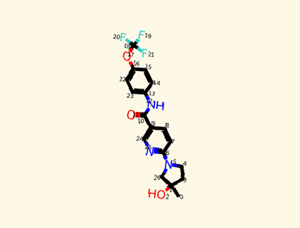 CC1(O)CCN(c2ccc(C(=O)Nc3ccc(OC(F)(F)F)cc3)cn2)C1